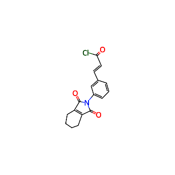 O=C(Cl)/C=C/c1cccc(N2C(=O)C3=C(CCCC3)C2=O)c1